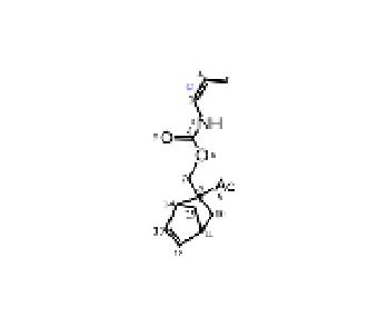 C/C=C\NC(=O)OCC1(C(C)=O)CC2C=CC1C2